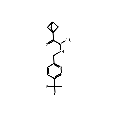 CN(NCc1ccc(C(F)(F)F)nn1)C(=O)C12CC(C1)C2